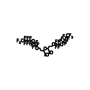 FC(F)(F)C(F)(F)C(F)(F)C(F)(F)OC(F)(F)C(F)(F)OCCC(OC(CCOC(F)(F)C(F)(F)OC(F)(F)C(F)(F)C(F)(F)C(F)(F)F)C1CO1)C1CO1